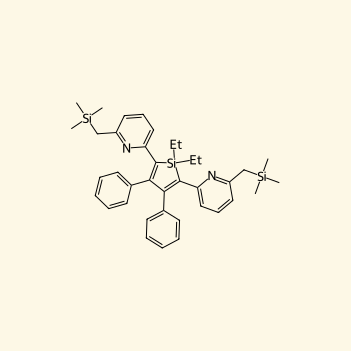 CC[Si]1(CC)C(c2cccc(C[Si](C)(C)C)n2)=C(c2ccccc2)C(c2ccccc2)=C1c1cccc(C[Si](C)(C)C)n1